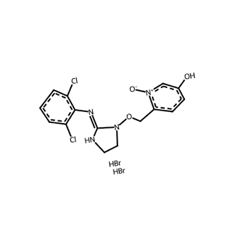 Br.Br.[O-][n+]1cc(O)ccc1CON1CCN/C1=N\c1c(Cl)cccc1Cl